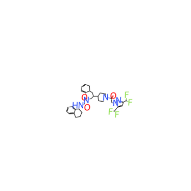 O=C(Cn1nc(C(F)F)cc1C(F)F)N1CCC(C2CC3CC=CC=C3ON(C(=O)NC3CCCc4ccccc43)C2)CC1